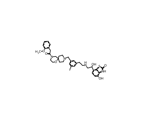 COc1ccccc1CC(=O)N1CCOC2(CCN(Cc3cc(F)cc(CCNCC(O)c4ccc(O)c5[nH]c(=O)sc45)c3)CC2)C1